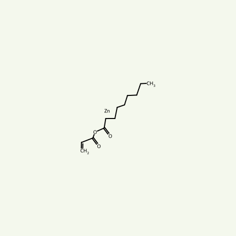 C=CC(=O)OC(=O)CCCCCCCC.[Zn]